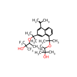 C=C(C)c1cc(C(C)(C)OC(C)C(O)(C(F)(F)F)C(F)(F)F)cc2c(C(C)(C)OC(C)C(C)(C)O)cccc12